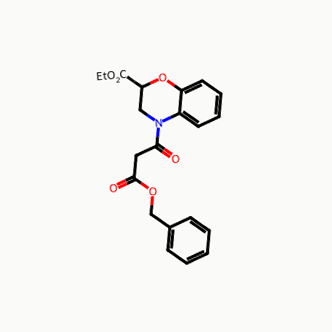 CCOC(=O)C1CN(C(=O)CC(=O)OCc2ccccc2)c2ccccc2O1